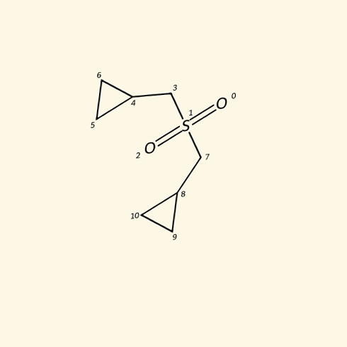 O=S(=O)(CC1CC1)CC1CC1